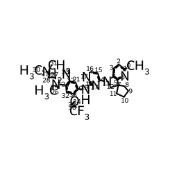 Cc1ccc2c(n1)C1(CCCC1)CN2c1ccnc(Nc2cc(N)c(N(C)CCN(C)C)cc2OCC(F)(F)F)n1